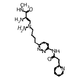 CNC(=O)/C(N)=C/N(N)CCCCc1ccc(NC(=O)Cc2ccccn2)nn1